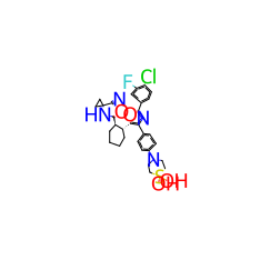 N#CC1(NC(=O)[C@@H]2CCCC[C@H]2c2oc(-c3ccc(Cl)c(F)c3)nc2-c2ccc(N3CCS(O)(O)CC3)cc2)CC1